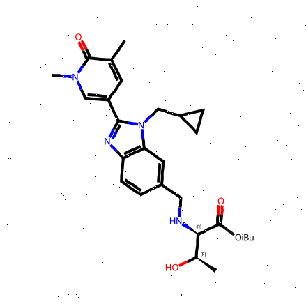 Cc1cc(-c2nc3ccc(CN[C@@H](C(=O)OCC(C)C)[C@@H](C)O)cc3n2CC2CC2)cn(C)c1=O